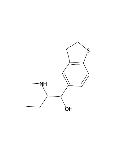 CCC(NC)C(O)c1ccc2c(c1)CCS2